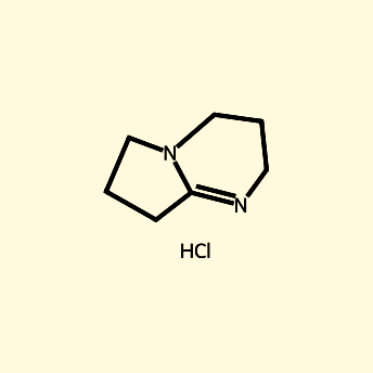 C1CN=C2CCCN2C1.Cl